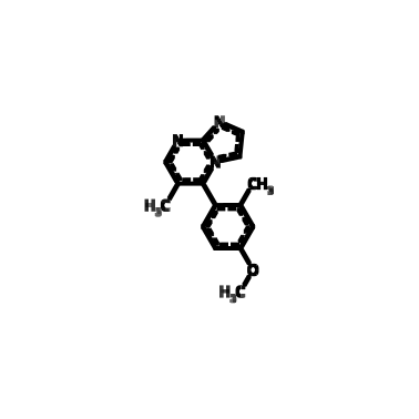 COc1ccc(-c2c(C)cnc3nccn23)c(C)c1